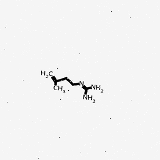 C=C(C)CCN=C(N)N